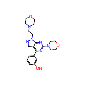 Oc1cccc(-c2nc(N3CCOCC3)nc3c2cnn3CCN2CCOCC2)c1